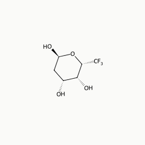 O[C@@H]1[C@H](O)C[C@@H](O)O[C@@H]1C(F)(F)F